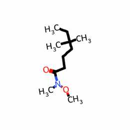 CCC(C)(C)CCCC(=O)N(C)OC